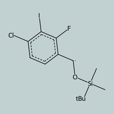 CC(C)(C)[Si](C)(C)O[CH]c1ccc(Cl)c(I)c1F